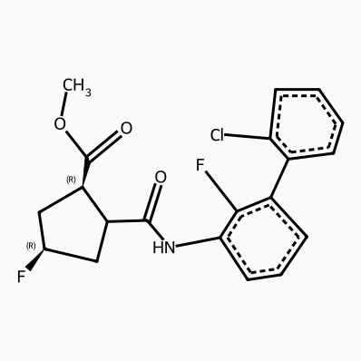 COC(=O)[C@@H]1C[C@H](F)CC1C(=O)Nc1cccc(-c2ccccc2Cl)c1F